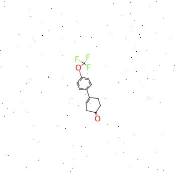 O=C1CC=C(c2ccc(OC(F)(F)F)cc2)CC1